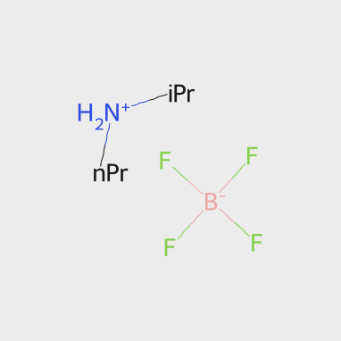 CCC[NH2+]C(C)C.F[B-](F)(F)F